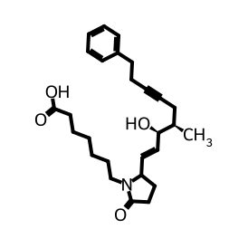 C[C@H](CC#CCCc1ccccc1)[C@H](O)/C=C/C1CCC(=O)N1CCCCCCC(=O)O